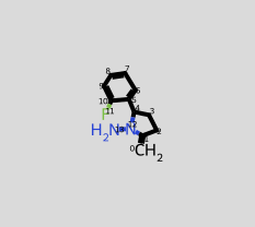 C=C1CCC(c2ccccc2F)N1N